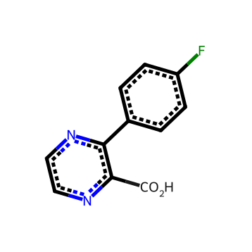 O=C(O)c1nccnc1-c1ccc(F)cc1